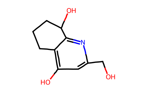 OCc1cc(O)c2c(n1)C(O)CCC2